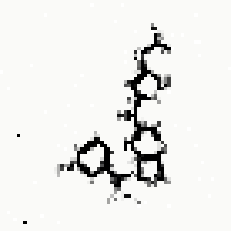 CC(c1cccc(F)c1)n1ncc2ncc(Nc3cc(OC(F)F)[nH]n3)nc21